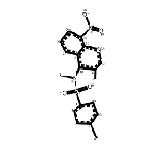 Cc1ccc(S(=O)(=O)N(C)c2c(C)cnc3c([N+](=O)[O-])cccc23)cc1